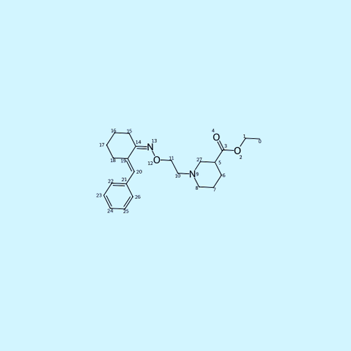 CCOC(=O)C1CCCN(CCON=C2CCCCC2=Cc2ccccc2)C1